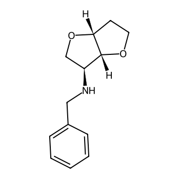 c1ccc(CN[C@H]2CO[C@@H]3CCO[C@H]23)cc1